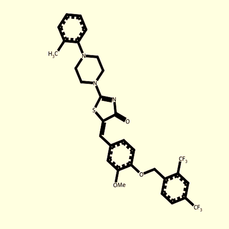 COc1cc(C=C2SC(N3CCN(c4ccccc4C)CC3)=NC2=O)ccc1OCc1ccc(C(F)(F)F)cc1C(F)(F)F